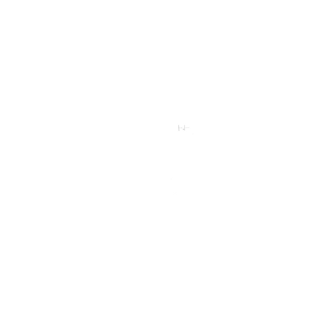 Bc1cc2ccc3cccc4ccc(c1)c2c34